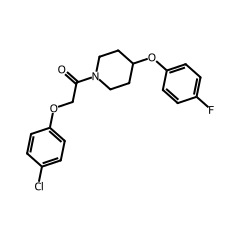 O=C(COc1ccc(Cl)cc1)N1CCC(Oc2ccc(F)cc2)CC1